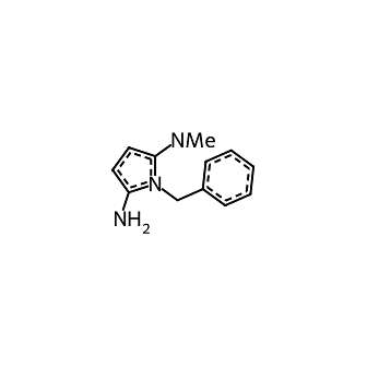 CNc1ccc(N)n1Cc1ccccc1